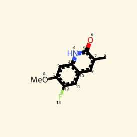 COc1cc2[nH]c(=O)c(C)cc2cc1F